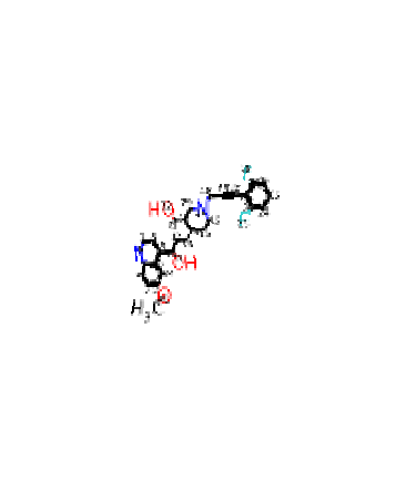 COc1ccc2nccc(C(O)CC[C@@H]3CCN(CC#Cc4c(F)cccc4F)C[C@@H]3CO)c2c1